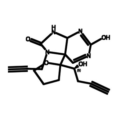 C#CC[C@H](O)C1(C23C=NC(O)=NC2NC(=O)N3CC#C)CCCO1